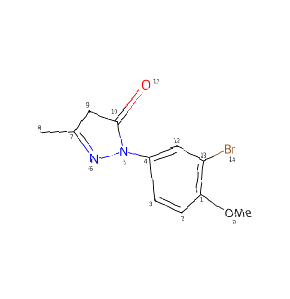 COc1ccc(N2N=C(C)CC2=O)cc1Br